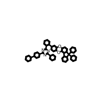 c1ccc(-c2ccc(-c3nc(-c4ccccc4)nc(-c4ccccc4-c4ccc5c(c4)Oc4ccc6c(c4O5)-c4ccccc4C6(c4ccccc4)c4ccccc4)n3)cc2)cc1